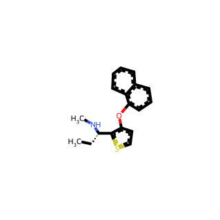 CC[C@H](NC)c1sccc1Oc1cccc2ccccc12